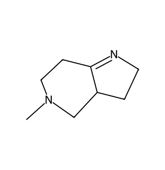 CN1CCC2=NCCC2C1